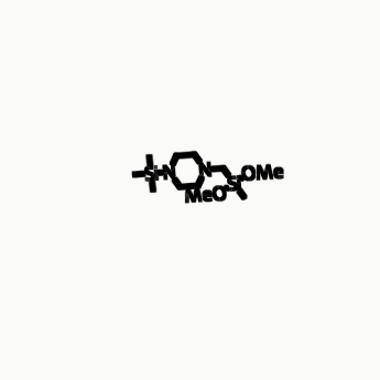 CO[Si](C)(CN1CCN([Si](C)(C)C)CC1)OC